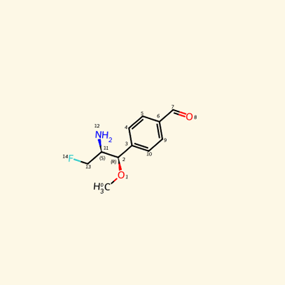 CO[C@H](c1ccc(C=O)cc1)[C@H](N)CF